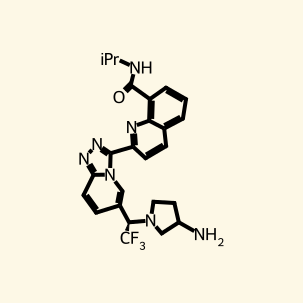 CC(C)NC(=O)c1cccc2ccc(-c3nnc4ccc([C@@H](N5CCC(N)C5)C(F)(F)F)cn34)nc12